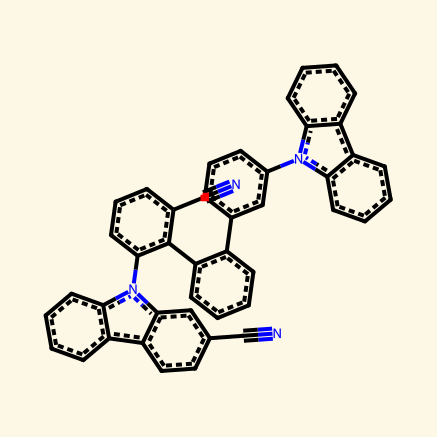 N#Cc1ccc2c3ccccc3n(-c3cccc(C#N)c3-c3ccccc3-c3cccc(-n4c5ccccc5c5ccccc54)c3)c2c1